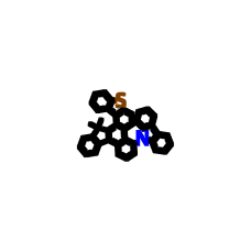 CC1(C)c2ccccc2-c2c1c1c(ccc3sc4ccccc4c31)c1c(-n3c4ccccc4c4ccccc43)cccc21